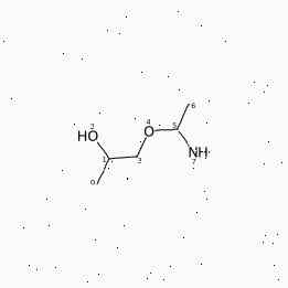 CC(O)COC(C)[NH]